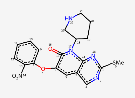 CSc1ncc2cc(Oc3ccccc3[N+](=O)[O-])c(=O)n(C3CCCNC3)c2n1